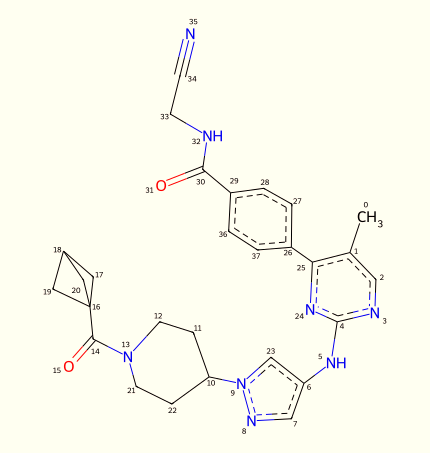 Cc1cnc(Nc2cnn(C3CCN(C(=O)C45CC(C4)C5)CC3)c2)nc1-c1ccc(C(=O)NCC#N)cc1